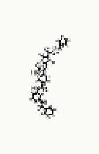 Cc1[nH]c(/C=C2\C(=O)Nc3cc(C(=O)Nc4cccc(NC(=O)c5ccccc5)c4)ccc32)c(C)c1C(=O)NCCN1CCCC1